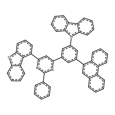 c1ccc(-c2nc(-c3cc(-c4cc5ccccc5c5ccccc45)cc(-n4c5ccccc5c5ccccc54)c3)cc(-c3cccc4oc5ccccc5c34)n2)cc1